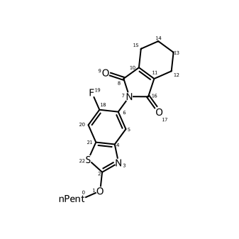 CCCCCOc1nc2cc(N3C(=O)C4=C(CCCC4)C3=O)c(F)cc2s1